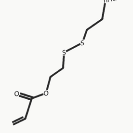 C=CC(=O)OCCSSCCCCCCCC